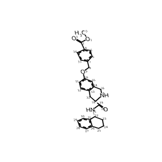 COC(=O)c1ccc(COc2ccc3c(c2)CN[C@H](C(=O)N[C@@H]2CCCc4ccccc42)C3)cc1